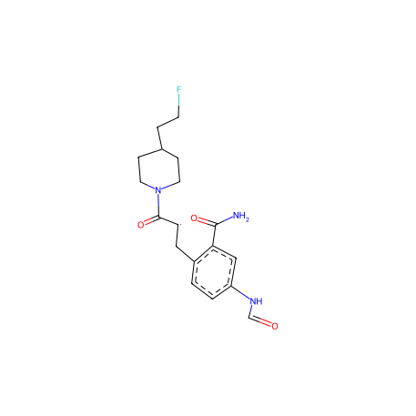 NC(=O)c1cc(NC=O)ccc1C[CH]C(=O)N1CCC(CCF)CC1